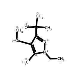 CCn1nc(C(C)(C)C)c(OC)c1C